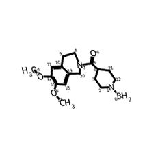 BN1CCC(C(=O)N2CCc3cc(OC)c(OC)cc3C2)CC1